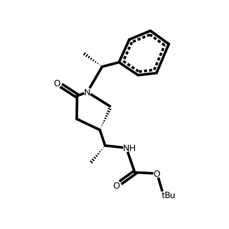 C[C@H](c1ccccc1)N1C[C@H]([C@@H](C)NC(=O)OC(C)(C)C)CC1=O